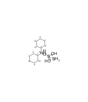 C1CCC(NC2CCCCC2)CC1.N.OB(O)O